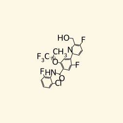 C[C@H](Oc1cc(-c2ccc(F)c(CO)n2)c(F)cc1C(=O)Nc1c(F)cccc1Cl)C(F)(F)F